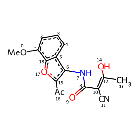 COc1cccc2c(NC(=O)C(C#N)=C(C)O)c(C(C)=O)oc12